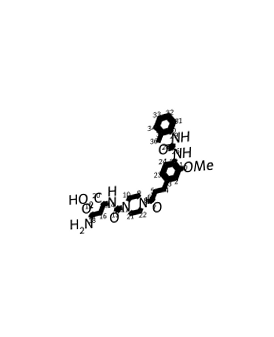 COc1cc(CCC(=O)N2CCN(C(=O)NC(CC(N)=O)C(=O)O)CC2)ccc1NC(=O)Nc1ccccc1C